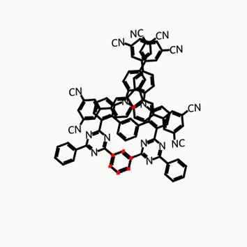 [C-]#[N+]c1cc(C#N)cc(-c2ccc3c(c2)c2cc(-c4cc(C#N)cc(C#N)c4)ccc2n3-c2cccc(-c3nc(-c4ccccc4)nc(-c4ccccc4)n3)c2-c2cccc(-c3c(-c4nc(-c5ccccc5)nc(-c5ccccc5)n4)cccc3-n3c4ccc(-c5cc(C#N)cc([N+]#[C-])c5)cc4c4cc(-c5cc([N+]#[C-])cc([N+]#[C-])c5)ccc43)c2)c1